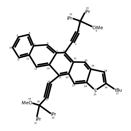 COC(C#Cc1c2cc3ccccc3cc2c(C#CC(OC)(C(C)C)C(C)C)c2cc3sc(C(C)(C)C)cc3cc12)(C(C)C)C(C)C